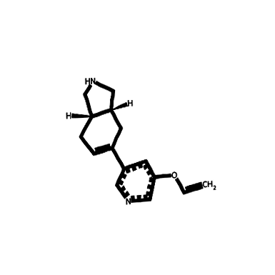 C=COc1cncc(C2=CC[C@@H]3CNC[C@@H]3C2)c1